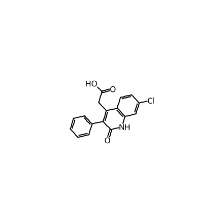 O=C(O)Cc1c(-c2ccccc2)c(=O)[nH]c2cc(Cl)ccc12